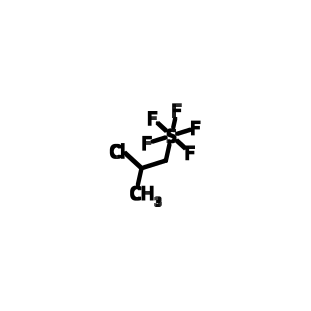 CC(Cl)CS(F)(F)(F)(F)F